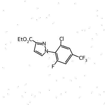 CCOC(=O)c1ccn(-c2c(F)cc(C(F)(F)F)cc2Cl)n1